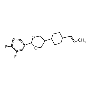 CC=CC1CCC(C2COC(c3ccc(F)c(F)c3)OC2)CC1